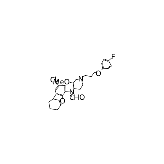 COC1CN(CCCOc2ccc(F)cc2)CCC1N(C=O)c1cc(Cl)cc2c1OC1CCCC2C1